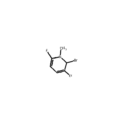 CCC1=CC=C(F)N(C)C1Br